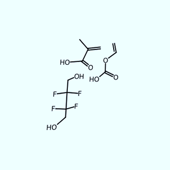 C=C(C)C(=O)O.C=COC(=O)O.OCC(F)(F)C(F)(F)CO